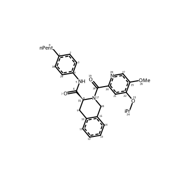 CCCCCc1ccc(NC(=O)[C@@H]2Cc3ccccc3CN2C(=O)c2cc(OC(C)C)c(OC)cn2)cc1